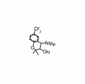 CNC1c2cc(C(F)(F)F)ccc2OC(C)(C)C1O